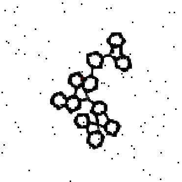 c1ccc(-c2c(N(c3ccc(-c4cccc(-n5c6ccccc6c6ccccc65)c4)cc3)c3ccc4c(c3)C3(c5ccccc5-c5ccccc53)c3ccccc3-4)ccc3ccccc23)cc1